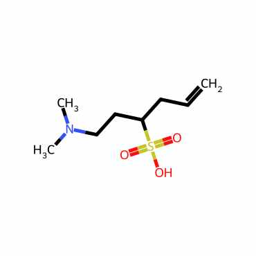 C=CCC(CCN(C)C)S(=O)(=O)O